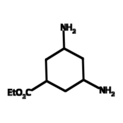 CCOC(=O)C1CC(N)CC(N)C1